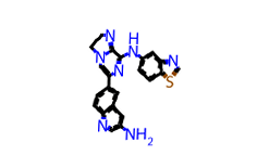 Nc1cnc2ccc(C3=CN4CCN=C4C(Nc4ccc5scnc5c4)=N3)cc2c1